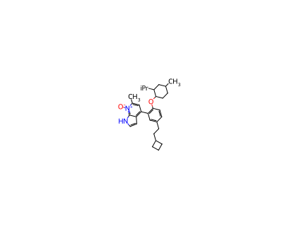 Cc1cc(-c2cc(CCC3CCC3)ccc2OC2CCC(C)CC2C(C)C)c2cc[nH]c2[n+]1[O-]